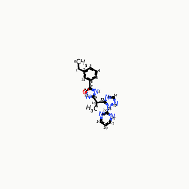 CCc1cccc(-c2nc(C(C)c3ncnn3-c3ncccn3)no2)c1